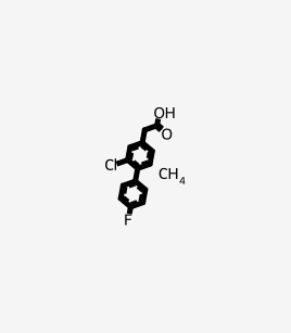 C.O=C(O)Cc1ccc(-c2ccc(F)cc2)c(Cl)c1